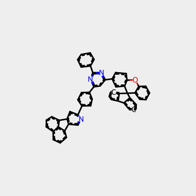 c1ccc(-c2nc(-c3ccc(-c4cc5c(cn4)-c4cccc6cccc-5c46)cc3)cc(-c3ccc4c(c3)C3(c5ccccc5O4)c4ccccc4-c4ccccc43)n2)cc1